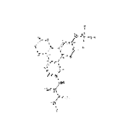 COC(=O)C(=O)Nc1ccc(N2CCOCC2)c(-c2ccc(OC(F)(F)F)cc2)c1